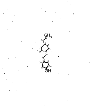 CCC[C@H]1CC[C@H](CCc2ccc(O)cc2)CC1